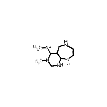 CNC1C2CNCCNC2NCN1C